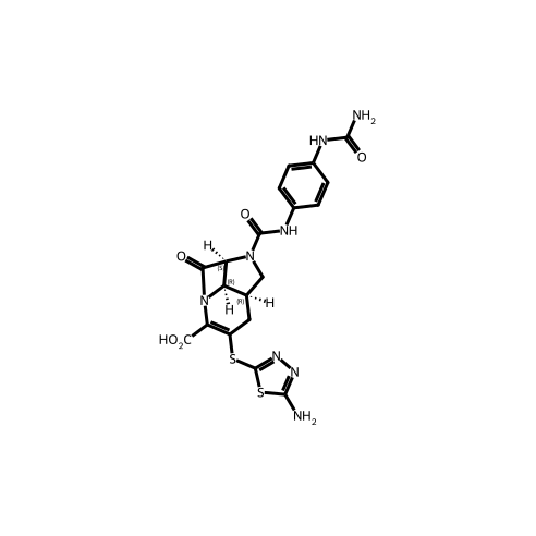 NC(=O)Nc1ccc(NC(=O)N2C[C@H]3CC(Sc4nnc(N)s4)=C(C(=O)O)N4C(=O)[C@@H]2[C@@H]34)cc1